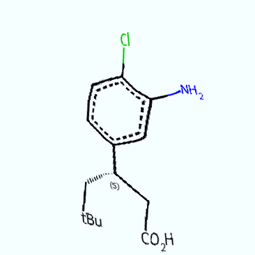 CC(C)(C)C[C@@H](CC(=O)O)c1ccc(Cl)c(N)c1